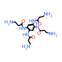 NCCC(=O)Nc1cc(NC(=O)CCN)c(NC(=O)CCN)cc1NC(=O)CCN